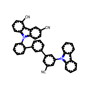 N#Cc1cc(-c2cccc(-c3ccccc3-n3c4ccc(C#N)cc4c4c(C#N)cccc43)c2)cc(-n2c3ccccc3c3ccccc32)c1